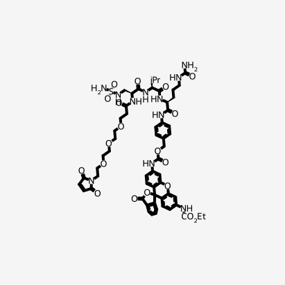 CCOC(=O)Nc1ccc2c(c1)Oc1cc(NC(=O)OCc3ccc(NC(=O)[C@H](CCCNC(N)=O)NC(=O)[C@@H](NC(=O)[C@H](CNS(N)(=O)=O)NC(=O)CCOCCOCCOCCN4C(=O)C=CC4=O)C(C)C)cc3)ccc1C21OC(=O)c2ccccc21